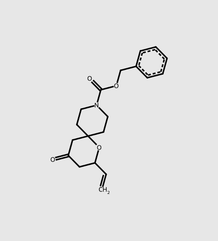 C=CC1CC(=O)CC2(CCN(C(=O)OCc3ccccc3)CC2)O1